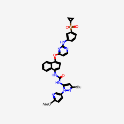 COc1ccc(-n2nc(C(C)(C)C)cc2NC(=O)Nc2ccc(Oc3ccnc(Nc4cccc(S(=O)(=O)C5CC5)c4)n3)c3ccccc23)cn1